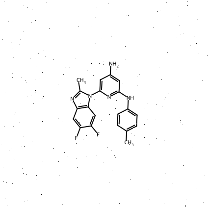 Cc1ccc(Nc2cc(N)cc(-n3c(C)nc4cc(F)c(F)cc43)n2)cc1